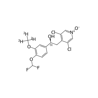 [2H]C([2H])([2H])Oc1cc([C@@H](O)Cc2c(Cl)c[n+]([O-])cc2Cl)ccc1OC(F)F